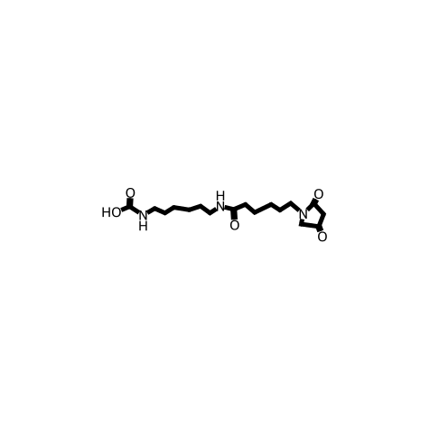 O=C1CC(=O)N(CCCCCC(=O)NCCCCCCNC(=O)O)C1